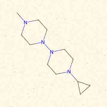 CN1CCN(N2CCN(C3CC3)CC2)CC1